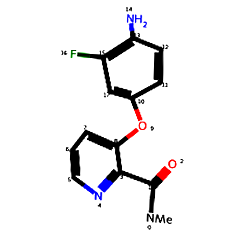 CNC(=O)c1ncccc1Oc1ccc(N)c(F)c1